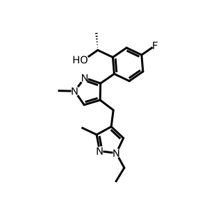 CCn1cc(Cc2cn(C)nc2-c2ccc(F)cc2[C@@H](C)O)c(C)n1